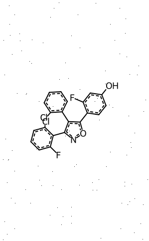 Oc1ccc(-c2onc(-c3c(F)cccc3Cl)c2-c2ccccc2Cl)c(F)c1